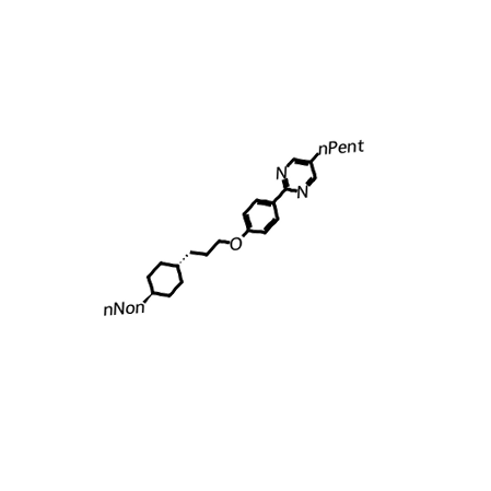 CCCCCCCCC[C@H]1CC[C@H](CCCOc2ccc(-c3ncc(CCCCC)cn3)cc2)CC1